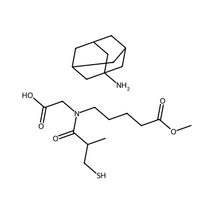 COC(=O)CCCCN(CC(=O)O)C(=O)C(C)CS.NC12CC3CC(CC(C3)C1)C2